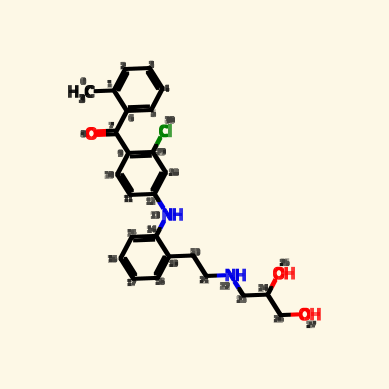 Cc1ccccc1C(=O)c1ccc(Nc2ccccc2CCNCC(O)CO)cc1Cl